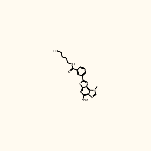 CNc1nc2sc(-c3cccc(C(=O)NCCCCO)c3)nc2c2c1ncn2C